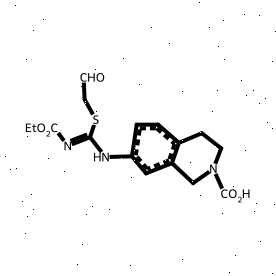 CCOC(=O)N=C(Nc1ccc2c(c1)CN(C(=O)O)CC2)SCC=O